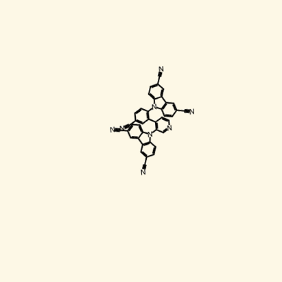 N#Cc1ccc(-n2c3ccc(C#N)cc3c3cc(C#N)ccc32)c(-c2ccncc2-n2c3ccc(C#N)cc3c3cc(C#N)ccc32)c1